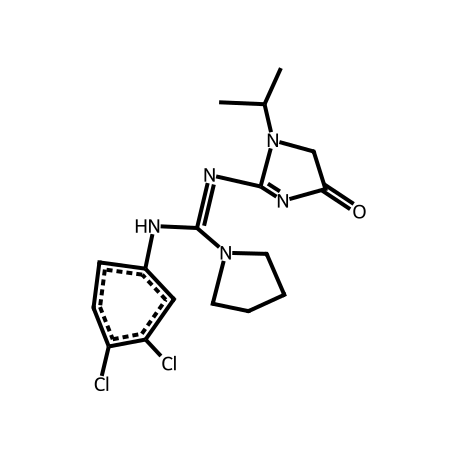 CC(C)N1CC(=O)N=C1/N=C(/Nc1ccc(Cl)c(Cl)c1)N1CCCC1